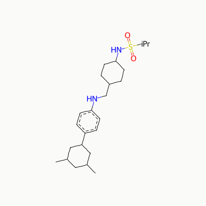 CC1CC(C)CC(c2ccc(NCC3CCC(NS(=O)(=O)C(C)C)CC3)cc2)C1